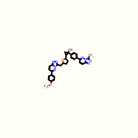 N#CC1(c2ccc(-c3ccc4nnc(C(F)(F)F)n4n3)cc2)CC1C1CCC(Cc2nnc3ccc(-c4ccc(OC(F)(F)F)cc4)nn23)O1